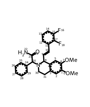 COc1cc2c(cc1OC)C(C=Cc1cccc(F)c1F)N(C(C(N)=O)c1ccccc1)CC2